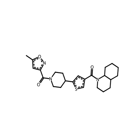 Cc1cc(C(=O)N2CCC(c3cc(C(=O)N4CCCC5CCCCC54)cs3)CC2)no1